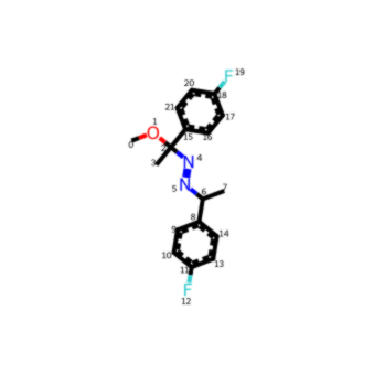 COC(C)(N=NC(C)c1ccc(F)cc1)c1ccc(F)cc1